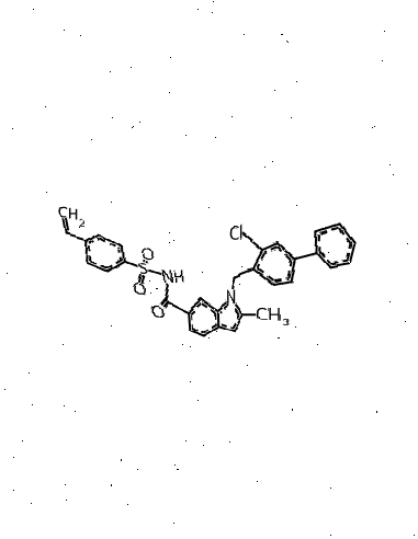 C=Cc1ccc(S(=O)(=O)NC(=O)c2ccc3cc(C)n(Cc4ccc(-c5ccccc5)cc4Cl)c3c2)cc1